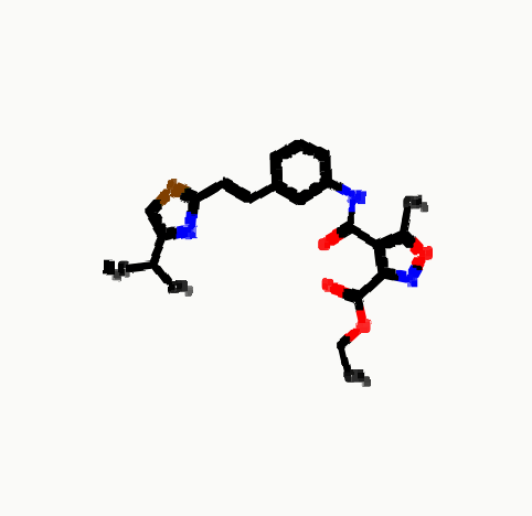 CCOC(=O)c1noc(C)c1C(=O)Nc1cccc(C=Cc2nc(C(C)C)cs2)c1